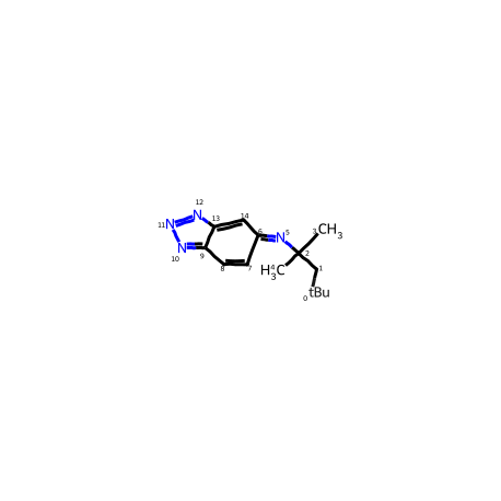 CC(C)(C)CC(C)(C)N=C1C=CC2=NN=NC2=C1